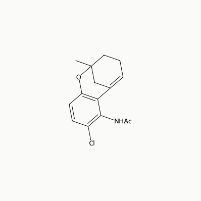 CC(=O)Nc1c(Cl)ccc2c1C1=CCCC(C)(C1)O2